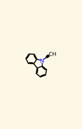 C#Cn1c2ccccc2c2ccccc21